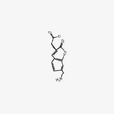 NCc1ccc2cc(CC(=O)Cl)c(=O)oc2c1